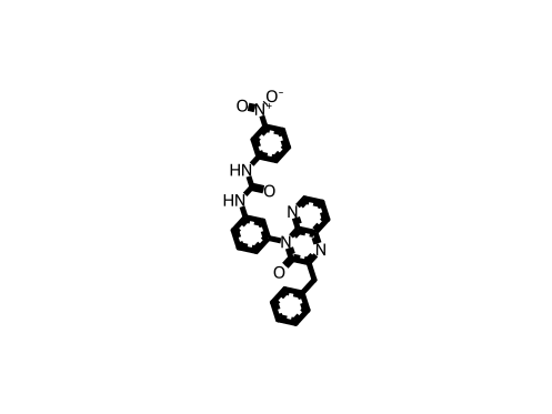 O=C(Nc1cccc(-n2c(=O)c(Cc3ccccc3)nc3cccnc32)c1)Nc1cccc([N+](=O)[O-])c1